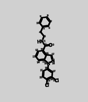 O=C(NCCc1ccccc1)c1cccc2c1cnn2-c1ccc(Cl)c(Cl)c1